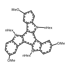 CCCCCCn1c2ccc(OC)cc2c2c1c1c3cc(OC)ccc3n(CCCCCC)c1c1c3cc(OC)ccc3n(CCCCCC)c21